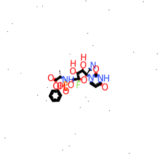 C[C@H](N[P@](=O)(OC[C@@]1(F)O[C@@](C#N)(n2ccc(=O)[nH]c2=O)[C@H](O)[C@@H]1O)Oc1ccccc1)C(=O)O